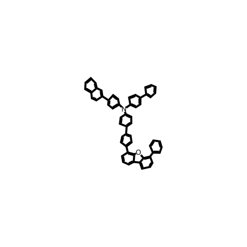 c1ccc(-c2ccc(N(c3ccc(-c4ccc(-c5cccc6c5oc5c(-c7ccccc7)cccc56)cc4)cc3)c3ccc(-c4ccc5ccccc5c4)cc3)cc2)cc1